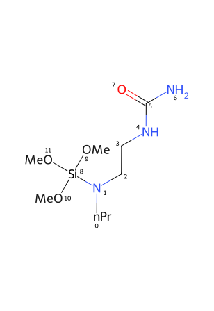 CCCN(CCNC(N)=O)[Si](OC)(OC)OC